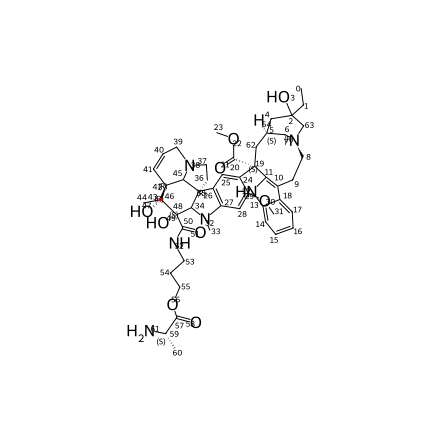 CCC1(O)C[C@H]2C[N@](CCc3c([nH]c4ccccc34)[C@@](C(=O)OC)(c3cc4c(cc3OC)N(C)C3[C@]45CCN4CC=C[C@](CC)(C45)[C@@H](O)[C@]3(O)C(=O)NCCCOC(=O)[C@H](C)N)C2)C1